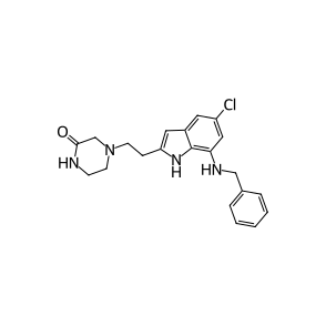 O=C1CN(CCc2cc3cc(Cl)cc(NCc4ccccc4)c3[nH]2)CCN1